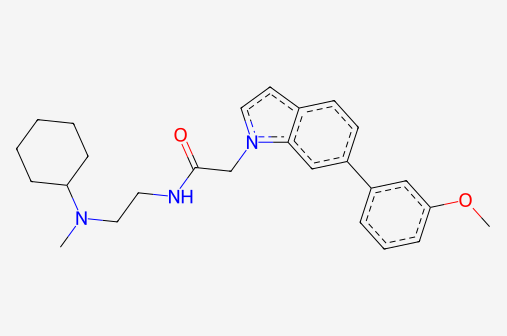 COc1cccc(-c2ccc3ccn(CC(=O)NCCN(C)C4CCCCC4)c3c2)c1